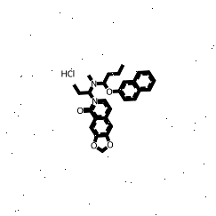 CCCC(Oc1ccc2ccccc2c1)N(C)C(CC)n1ccc2cc3c(cc2c1=O)OCO3.Cl